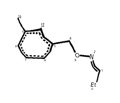 CC/[C]=N\OCc1cccc(C)c1